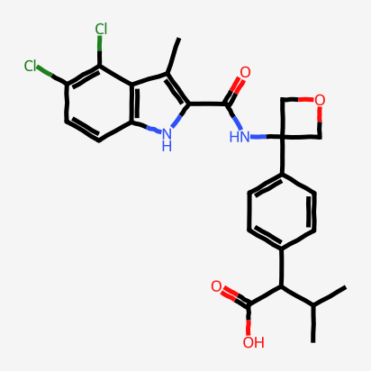 Cc1c(C(=O)NC2(c3ccc(C(C(=O)O)C(C)C)cc3)COC2)[nH]c2ccc(Cl)c(Cl)c12